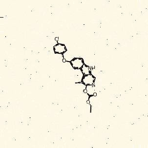 CCOC(=O)Oc1ncc2[nH]c3ccc(Oc4ccc(Cl)cc4)cc3c2c1C